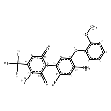 COc1ncccc1Oc1cc(-n2c(=O)cc(C(F)(F)F)n(C)c2=O)c(F)cc1N